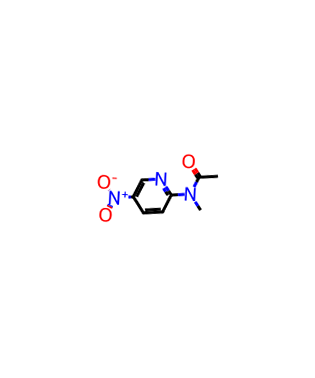 CC(=O)N(C)c1ccc([N+](=O)[O-])cn1